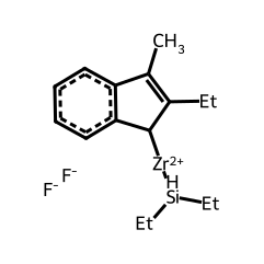 CCC1=C(C)c2ccccc2[CH]1[Zr+2][SiH](CC)CC.[F-].[F-]